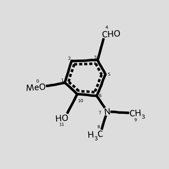 COc1cc(C=O)cc(N(C)C)c1O